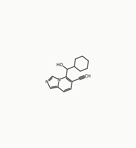 C#Cc1ccc2cncn2c1C(O)C1CCCCC1